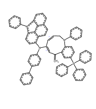 C=C1/C=C(N(c2ccc(-c3ccccc3)cc2)c2ccc3c4c2ccc2cccc(c24)n3-c2ccccc2)\C=C/CN(c2ccccc2)c2ccc([Si](c3ccccc3)(c3ccccc3)c3ccccc3)cc21